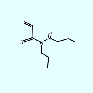 C=CC(=O)N(CCC)NCCC